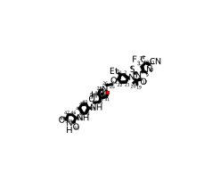 CCc1cc(N2C(=S)N(c3cnc(C#N)c(C(F)(F)F)c3)C(=O)C2(C)C)ccc1OCCN1C[C@H]2CCC1CN2CC(=O)Nc1cccc(NC2CCC(=O)NC2=O)c1